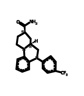 NC(=O)[C@@H]1CCN2c3ccccc3N(c3ccc(C(F)(F)F)cc3)C[C@@H]2C1